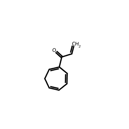 C=CC(=O)C1=CCC=CC=C1